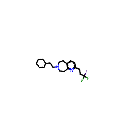 FC(F)(I)CCc1ccc2c(n1)CCN(CCC1CCCCC1)CC2